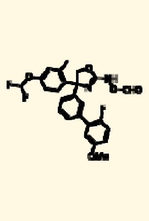 COc1ccc(F)c(-c2cccc(C3(c4ccc(OC(F)F)cc4C)COC(NOC=O)=N3)c2)c1